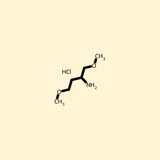 COCCC(N)COC.Cl